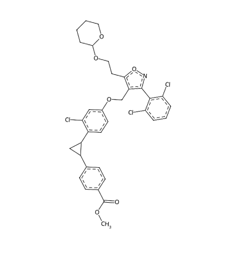 COC(=O)c1ccc(C2CC2c2ccc(OCc3c(-c4c(Cl)cccc4Cl)noc3CCOC3CCCCO3)cc2Cl)cc1